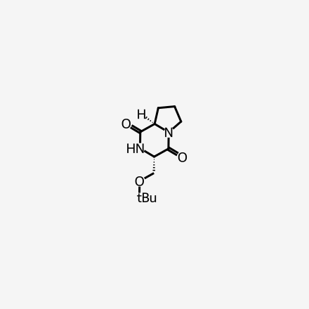 CC(C)(C)OC[C@@H]1NC(=O)[C@H]2CCCN2C1=O